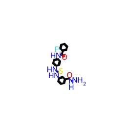 NNC(=O)c1cccc(NC(=S)Nc2ccc(NC(=O)c3ccccc3F)cc2)c1